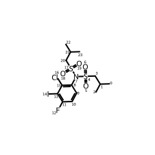 CC(C)CS(=O)(=O)N(c1ccc(F)c(I)c1Cl)S(=O)(=O)CC(C)C